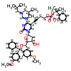 COc1ccc(C(OCC2OC(n3cc(C#CCCOP4(=O)Oc5ccccc5C(C)(C)O4)c(/N=C/N(CC(C)C)CC(C)C)nc3=O)CC2O)(c2ccccc2)c2ccc(OC)cc2)cc1